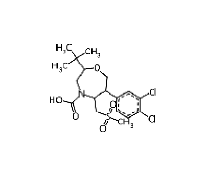 CC(C)(C)C1CN(C(=O)O)C(CS(C)(=O)=O)C(c2ccc(Cl)c(Cl)c2)CO1